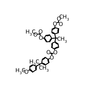 COC(=O)Oc1ccc(C(C)(c2ccc(OC(=O)OC)cc2)c2ccc(OC(=O)Oc3ccc(C(C)(C)c4ccc(OC)cc4)cc3)cc2)cc1